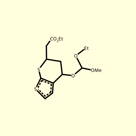 CCOC(=O)CC1CC(OC(OC)OCC)c2ccsc2S1